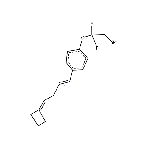 CC(C)CC(F)(F)Oc1ccc(/C=C/CC=C2CCC2)cc1